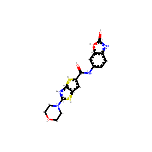 O=C(Nc1ccc2[nH]c(=O)oc2c1)c1cc2sc(N3CCOCC3)nc2s1